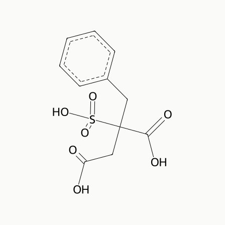 O=C(O)CC(Cc1ccccc1)(C(=O)O)S(=O)(=O)O